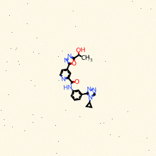 CC(O)c1nnc(-c2ccnc(C(=O)Nc3cccc(-c4nncn4C4CC4)c3)c2)o1